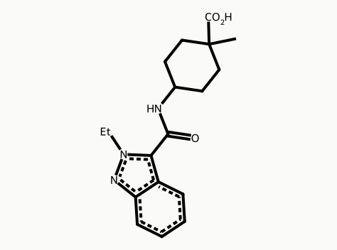 CCn1nc2ccccc2c1C(=O)NC1CCC(C)(C(=O)O)CC1